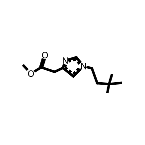 COC(=O)Cc1cn(CCC(C)(C)C)cn1